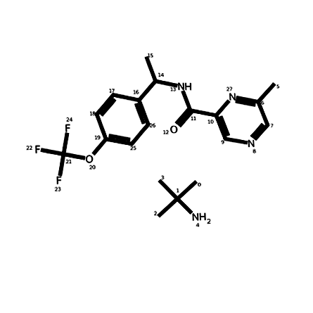 CC(C)(C)N.Cc1cncc(C(=O)NC(C)c2ccc(OC(F)(F)F)cc2)n1